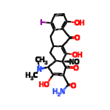 CN(C)[C@@H]1C(O)=C(C(N)=O)C(=O)[C@@]2(N=O)C(O)=C3C(=O)c4c(O)ccc(I)c4CC3CC12